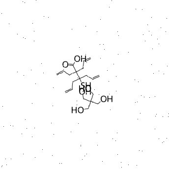 C=CCC(S)(CC=C)C(CC=C)(CC=C)C(=O)O.OCC(CO)(CO)CO